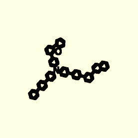 c1ccc(-c2ccc(-c3ccc(N(c4ccc(-c5ccc(-c6cccc(-c7ccc8ccccc8c7)c6)cc5)cc4)c4ccc(-c5cccc6c5oc5ccccc56)cc4)cc3)cc2)cc1